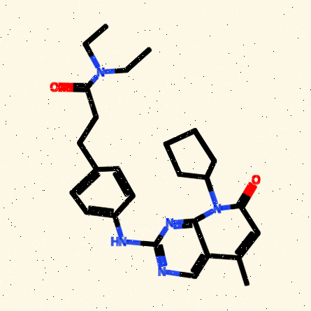 CCN(CC)C(=O)CCc1ccc(Nc2ncc3c(C)cc(=O)n(C4CCCC4)c3n2)cc1